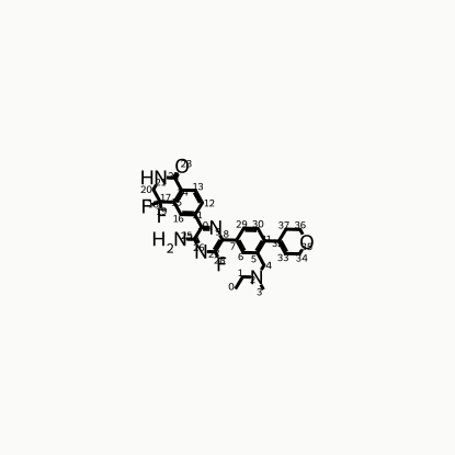 CCN(C)Cc1cc(-c2nc(-c3ccc4c(c3)C(F)(F)CNC4=O)c(N)nc2F)ccc1C1=CCOCC1